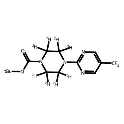 [2H]C1([2H])N(C(=O)OC(C)(C)C)C([2H])([2H])C([2H])([2H])N(c2ncc(C(F)(F)F)cn2)C1([2H])[2H]